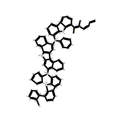 C=C/C=C\C(C)=C(/C)c1cccc2c1oc1c(N(c3ccccc3)c3cc4c(oc5cc(N(c6ccccc6)c6cccc7c6oc6c(-c8ccccc8C)cccc67)c6ccccc6c54)c4ccccc34)cccc12